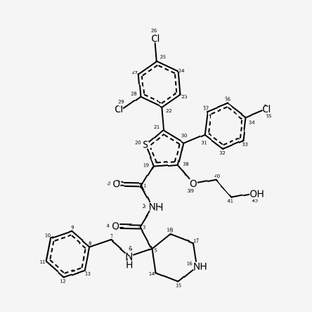 O=C(NC(=O)C1(NCc2ccccc2)CCNCC1)c1sc(-c2ccc(Cl)cc2Cl)c(-c2ccc(Cl)cc2)c1OCCO